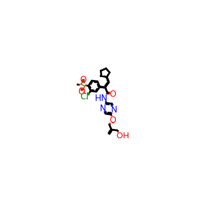 C=C(CO)COc1cnc(NC(=O)/C(=C/C2CCCC2)c2ccc(S(C)(=O)=O)c(Cl)c2)cn1